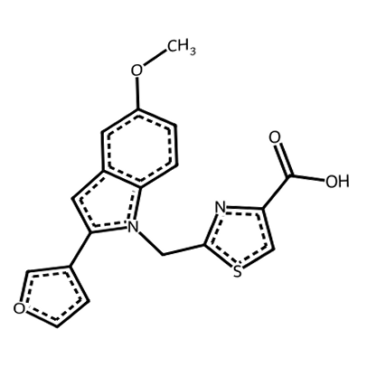 COc1ccc2c(c1)cc(-c1ccoc1)n2Cc1nc(C(=O)O)cs1